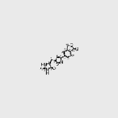 O=C1NC(=S)N/C1=C/c1cc(-c2ccc3c(c2)COC3=O)ns1